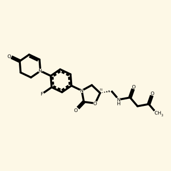 CC(=O)CC(=O)NC[C@H]1CN(c2ccc(N3C=CC(=O)CC3)c(F)c2)C(=O)O1